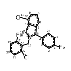 Fc1ccc(-c2c3cccc(Cl)c3nn2Cc2c(F)cccc2Cl)cc1